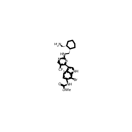 COC(=O)Nc1ccc2c(-c3nc(NC[C@H]4CCCC[C@H]4CN)ncc3C(F)(F)F)c[nH]c2c1Br